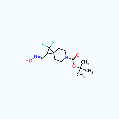 CC(C)(C)OC(=O)N1CCC2(CC1)C(C=NO)C2(F)F